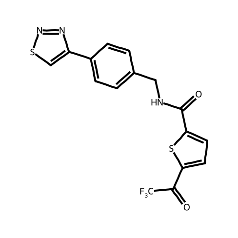 O=C(NCc1ccc(-c2csnn2)cc1)c1ccc(C(=O)C(F)(F)F)s1